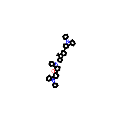 CC1(C)c2cc(-c3ccc4c(c3)c3ccccc3n4-c3ccccc3)ccc2-c2ccc(-n3c4ccccc4c4c5oc6c(ccc7c6c6ccccc6n7-c6ccccc6)c5ccc43)cc21